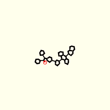 c1ccc(-c2oc3cc(-c4cccc(-c5c6ccccc6c(-c6ccc7ccccc7c6)c6ccccc56)c4)ccc3c2-c2ccccc2)cc1